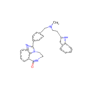 CN(CCc1cc2ccccc2[nH]1)Cc1ccc(-c2nc3cccc4c3n2CCNC4=O)cc1